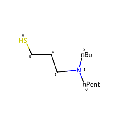 CCCCCN(CCCC)CCCS